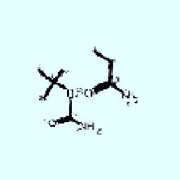 CC(C)(C)OC(N)=O.CCC(N)=O